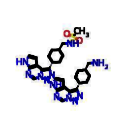 CS(=O)(=O)NC[C@H]1CC[C@H](c2nnn3cnc4[nH]ccc4c23)CC1.NC[C@H]1CC[C@H](c2nnn3cnc4[nH]ccc4c23)CC1